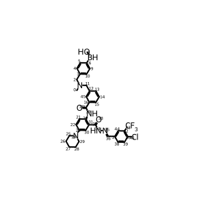 CN(Cc1ccc(BO)cc1)Cc1cccc(C(=O)Nc2ccc(N3CCCCC3)cc2C(=O)N/N=C/c2ccc(Cl)c(C(F)(F)F)c2)c1